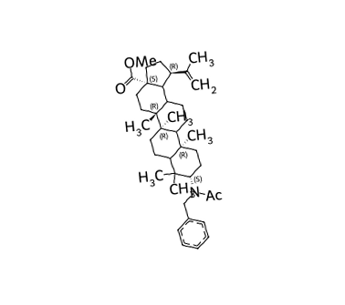 C=C(C)[C@@H]1CC[C@]2(C(=O)OC)CC[C@]3(C)C(CCC4[C@@]5(C)CC[C@H](N(Cc6ccccc6)C(C)=O)C(C)(C)C5CC[C@]43C)C12